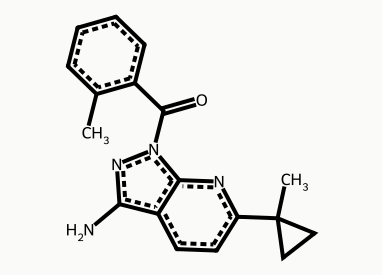 Cc1ccccc1C(=O)n1nc(N)c2ccc(C3(C)CC3)nc21